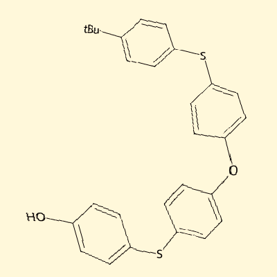 CC(C)(C)c1ccc(Sc2ccc(Oc3ccc(Sc4ccc(O)cc4)cc3)cc2)cc1